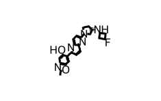 Cc1nc2cc(O)c(-c3ccc4nc(N5CC[C@@H](N[C@H]6C[C@H](F)C6)C5)ccc4n3)cc2o1